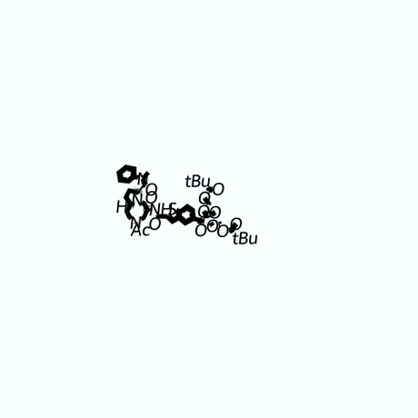 CC(=O)N1CC[C@H]2CC[C@@H](C(=O)N(C)c3ccccc3)N2C(=O)[C@@H](NC(=O)c2cc3cc(C(=O)P(=O)(OCOC(=O)C(C)(C)C)OCOC(=O)C(C)(C)C)ccc3s2)C1